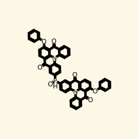 O=c1c2cc([PH](=O)c3ccc4c(c3)c(=O)c3ccc(Oc5ccccc5)c5c(=O)c6ccccc6n4c35)ccc2n2c3ccccc3c(=O)c3c(Oc4ccccc4)ccc1c32